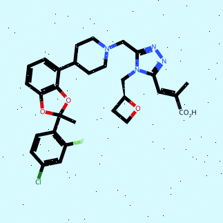 C/C(=C\c1nnc(CN2CCC(c3cccc4c3OC(C)(c3ccc(Cl)cc3F)O4)CC2)n1C[C@@H]1CCO1)C(=O)O